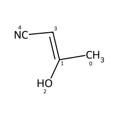 CC(O)=CC#N